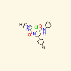 CCc1ccc(C2CC(C(=O)Nc3ccccc3)CN(C(=O)c3nn(C)cc3Cl)C2)cc1